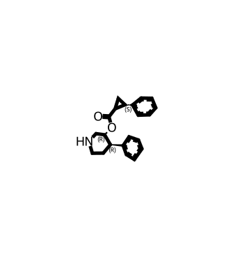 O=C(O[C@H]1CNCC[C@@H]1c1ccccc1)C1C[C@@H]1c1ccccc1